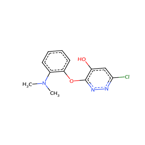 CN(C)c1ccccc1Oc1nnc(Cl)cc1O